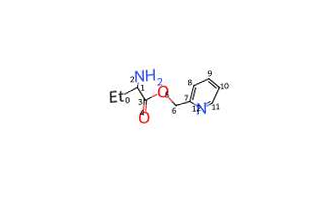 CCC(N)C(=O)OCc1ccccn1